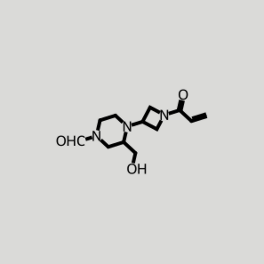 C=CC(=O)N1CC(N2CCN(C=O)CC2CO)C1